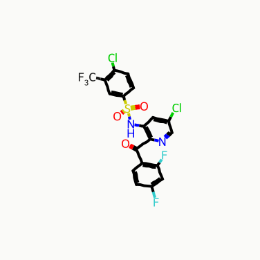 O=C(c1ccc(F)cc1F)c1ncc(Cl)cc1NS(=O)(=O)c1ccc(Cl)c(C(F)(F)F)c1